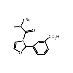 CCCCN(C)C(=O)N1C=COC1c1cccc(C(=O)O)c1